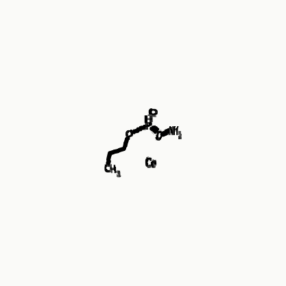 CCCO[PH](=O)ON.[Ce]